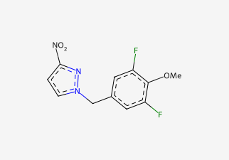 COc1c(F)cc(Cn2ccc([N+](=O)[O-])n2)cc1F